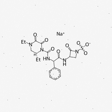 CC[C@@H]1CN(CC)C(=O)C(=O)N1C(=O)NC(C(=O)NC1CN(S(=O)(=O)[O-])C1=O)c1ccccc1.[Na+]